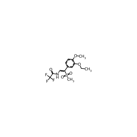 CCOc1cc(C(=CNC(=O)C(F)(F)F)S(C)(=O)=O)ccc1OC